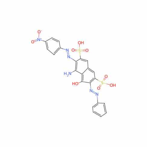 Nc1c(/N=N/c2ccc([N+](=O)[O-])cc2)c(S(=O)(=O)O)cc2cc(S(=O)(=O)O)c(/N=N/c3ccccc3)c(O)c12